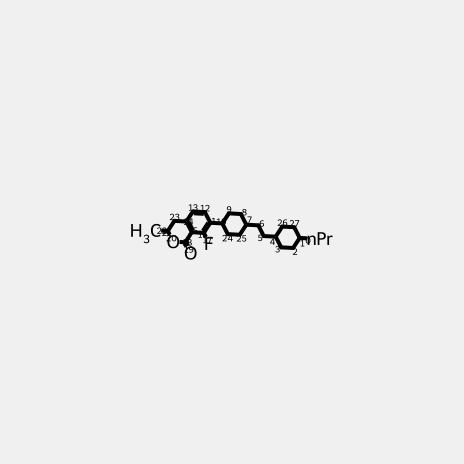 CCCC1CCC(CCC2CCC(c3ccc4c(c3F)C(=O)OC(C)C4)CC2)CC1